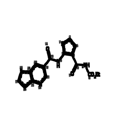 CCOC(=O)NC(=O)c1ccsc1NC(=O)c1cnc2ccsc2c1